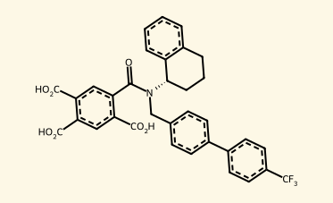 O=C(O)c1cc(C(=O)O)c(C(=O)N(Cc2ccc(-c3ccc(C(F)(F)F)cc3)cc2)[C@H]2CCCc3ccccc32)cc1C(=O)O